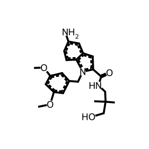 COc1cc(Cn2c(C(=O)NCC(C)(C)CO)cc3cc(N)ccc32)cc(OC)c1